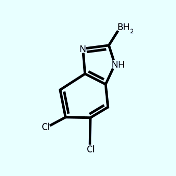 Bc1nc2cc(Cl)c(Cl)cc2[nH]1